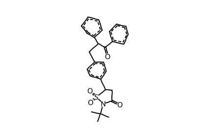 CC(C)(C)N1C(=O)CC(c2ccc(CC(C(=O)c3ccccc3)c3ccccc3)cc2)S1(=O)=O